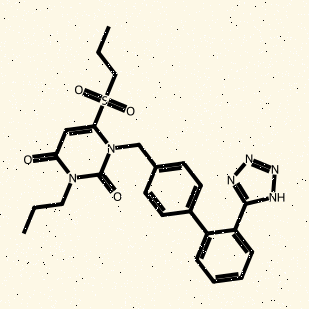 CCCn1c(=O)cc(S(=O)(=O)CCC)n(Cc2ccc(-c3ccccc3-c3nnn[nH]3)cc2)c1=O